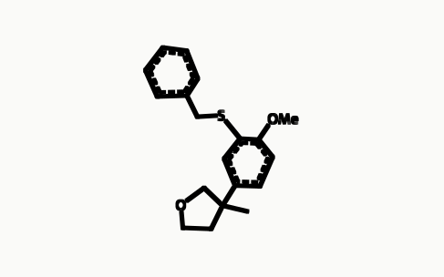 COc1ccc(C2(C)CCOC2)cc1SCc1ccccc1